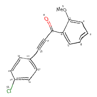 COc1ccccc1C(=O)C#Cc1ccc(Cl)cc1